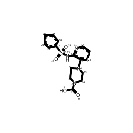 O=C(O)N1CCN(c2nccnc2NS(=O)(=O)c2ccccc2)CC1